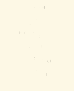 CCC(CC)(c1ccc(C=CC2(O)CCCCC2)c(C)c1)c1ccc(-c2ccc(CC(=O)O)cc2)c(C)c1